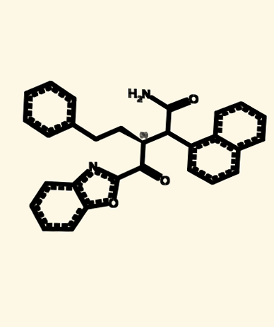 NC(=O)C(c1cccc2ccccc12)[C@H](CCc1ccccc1)C(=O)c1nc2ccccc2o1